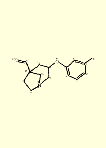 Cc1cccc(OC2CN3CCC([C]=O)(C2)C3)c1